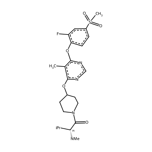 CN[C@@H](C(=O)N1CCC(Oc2ncnc(Oc3ccc(S(C)(=O)=O)cc3F)c2C)CC1)C(C)C